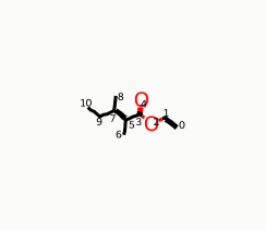 C=COC(=O)/C(C)=C(\C)CC